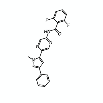 Cn1cc(-c2ccccc2)cc1-c1cnc(NC(=O)c2c(F)cccc2F)cn1